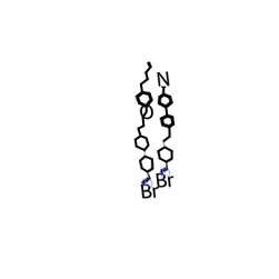 C=CCCCc1ccc(OCCCC2CCC([C@H]3CC[C@H](/C=C/Br)CC3)CC2)cc1.N#Cc1ccc(-c2ccc(CC[C@H]3CC[C@H](/C=C/Br)CC3)cc2)cc1